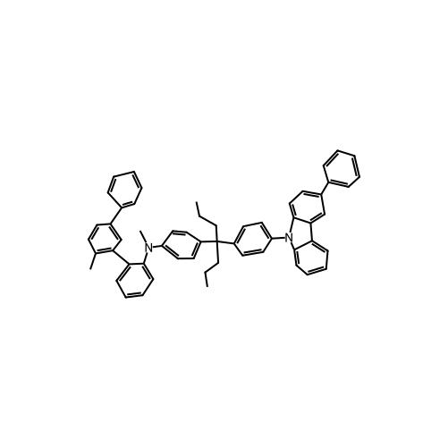 CCCC(CCC)(c1ccc(N(C)c2ccccc2-c2cc(-c3ccccc3)ccc2C)cc1)c1ccc(-n2c3ccccc3c3cc(-c4ccccc4)ccc32)cc1